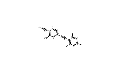 Cc1cc(C)c(C#Cc2cnc(C#N)c(Cl)c2)c(C)c1